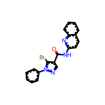 O=C(Nc1ccc2ccccc2n1)c1cnn(-c2ccccc2)c1Br